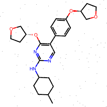 CC1CCC(Nc2ncc(-c3ccc(O[C@H]4CCOC4)cc3)c(O[C@@H]3CCOC3)n2)CC1